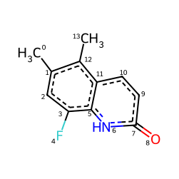 Cc1cc(F)c2[nH]c(=O)ccc2c1C